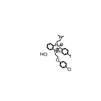 CN(C)CCN(c1ccccc1NCCOc1ccc(Cl)cc1)S(=O)(=O)c1ccc(I)cc1.Cl